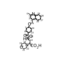 Cc1cc(COc2ccc(S(=O)(=O)NC[C@@H](C(=O)O)N3CCOCC3)cc2)c2ccccc2n1